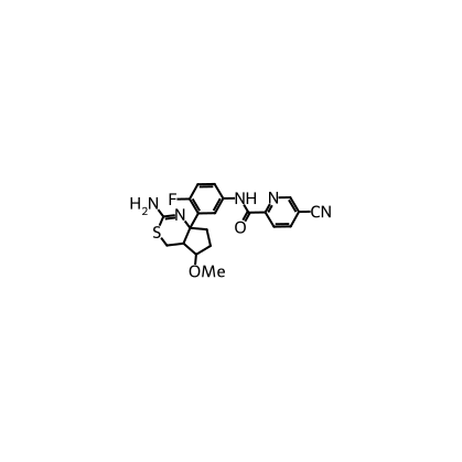 COC1CCC2(c3cc(NC(=O)c4ccc(C#N)cn4)ccc3F)N=C(N)SCC12